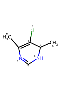 CC1=C(Cl)C(C)NC=N1